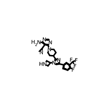 Nc1ncnc(N2CCC(c3nc(-c4ccc(F)c(C(F)(F)F)c4)cn3C3CNC3)CC2)c1C1=NC1